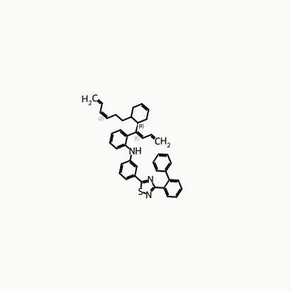 C=C/C=C\CCC1CC=CC[C@H]1/C(=C\C=C)c1ccccc1Nc1cccc(-c2nc(-c3ccccc3-c3ccccc3)ns2)c1